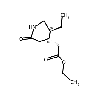 CCOC(=O)C[C@@H]1CC(=O)NC[C@H]1CC